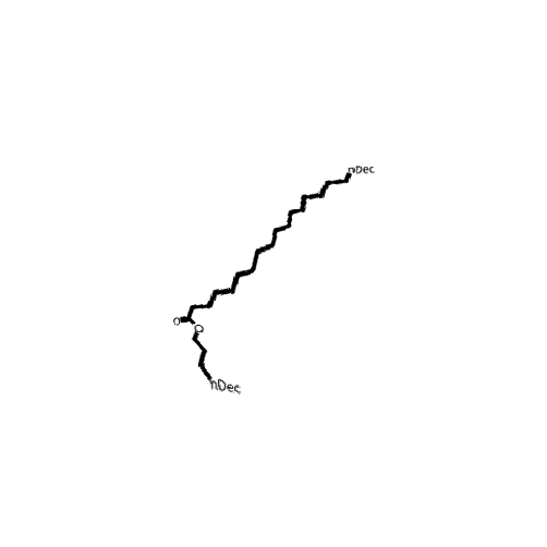 CCCCCCCCCCCCCCCCCCCCCCCCCCC(=O)OCCCCCCCCCCCCC